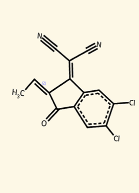 C/C=C1\C(=O)c2cc(Cl)c(Cl)cc2C1=C(C#N)C#N